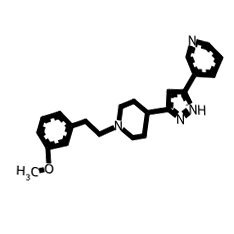 COc1cccc(CCN2CCC(c3cc(-c4cccnc4)[nH]n3)CC2)c1